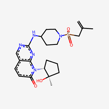 C=C(C)CS(=O)(=O)N1CCC(Nc2ncc3ccc(=O)n([C@@H]4CCC[C@@]4(C)O)c3n2)CC1